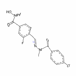 CN(/N=C/c1ccc(C(=O)NO)cc1F)C(=O)c1ccc(Cl)cc1